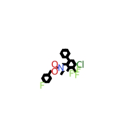 [CH2]c1c(CN(CC)C(=O)OCc2ccc(F)cc2)c(-c2ccccc2)cc(Cl)c1C(F)(F)F